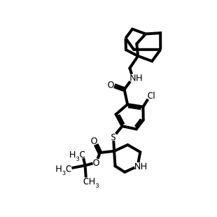 CC(C)(C)OC(=O)C1(Sc2ccc(Cl)c(C(=O)NCC34CC5CC(CC(C5)C3)C4)c2)CCNCC1